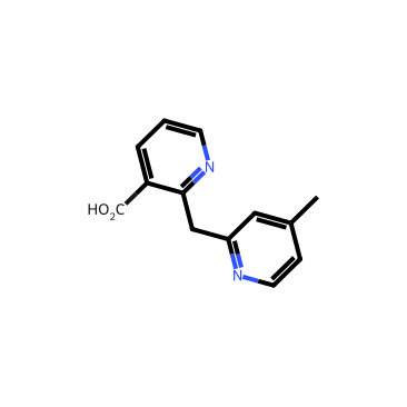 Cc1ccnc(Cc2ncccc2C(=O)O)c1